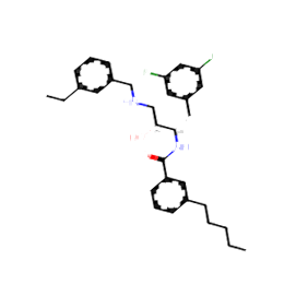 CCCCCc1cccc(C(=O)N[C@@H](Cc2cc(F)cc(F)c2)[C@H](O)CNCc2cccc(CC)c2)c1